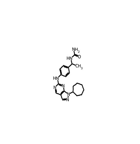 CC(NC(N)=O)c1ccc(Nc2ncc3cnn(C4CCCCCC4)c3n2)cc1